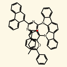 CC1=C(c2ccccc2)Oc2c(cccc2-n2c3ccccc3c3ccc4c5ccccc5n(-c5nc(-c6ccccc6)nc(-c6cc7ccccc7c7ccccc67)n5)c4c32)C1